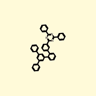 c1ccc(-c2cc(-c3ccccc3)cc(-c3ccccc3-c3cccc(-c4nc(-c5ccccc5)nc(-c5ccccc5)n4)c3)c2)cc1